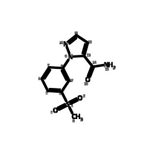 CS(=O)(=O)c1cccc(-n2nccc2C(N)=O)c1